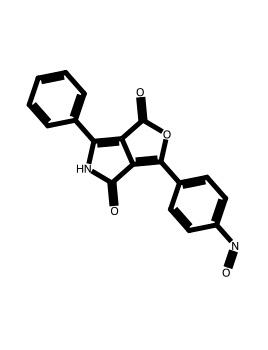 O=Nc1ccc(C2=C3C(=O)NC(c4ccccc4)=C3C(=O)O2)cc1